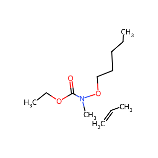 C=CC.CCCCCON(C)C(=O)OCC